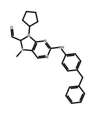 CN1c2cnc(Nc3ccc(Cc4ccccc4)cc3)nc2N(C2CCCC2)C1C=O